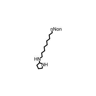 CCCCCCCCCCCCCCCCCCNC1CCCN1